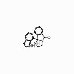 O=C1c2ccccc2C2(c3cccc4cc[nH]c34)NCCN12